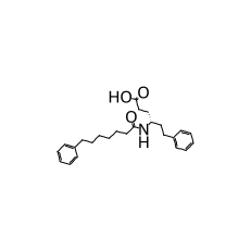 O=C(O)CC[C@H](CCc1ccccc1)NC(=O)CCCCCCc1ccccc1